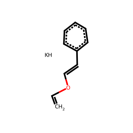 C=COC=Cc1ccccc1.[KH]